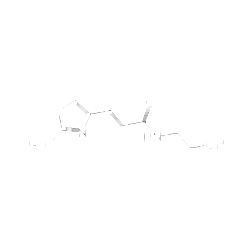 Cc1nc(C=CC(=O)NCCO)cs1